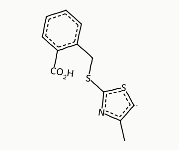 Cc1[c]sc(SCc2ccccc2C(=O)O)n1